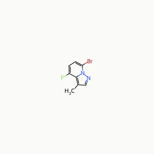 Cc1cnn2c(Br)ccc(F)c12